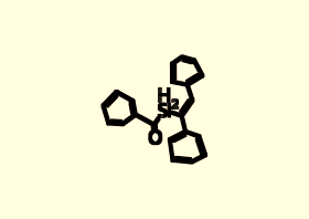 O=C([SiH2]C(=Cc1ccccc1)c1ccccc1)c1ccccc1